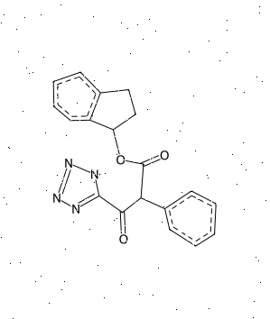 O=C(OC1CCc2ccccc21)C(C(=O)C1=NN=N[N]1)c1ccccc1